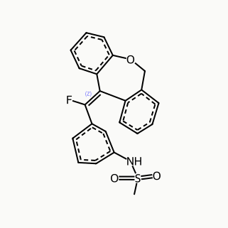 CS(=O)(=O)Nc1cccc(/C(F)=C2\c3ccccc3COc3ccccc32)c1